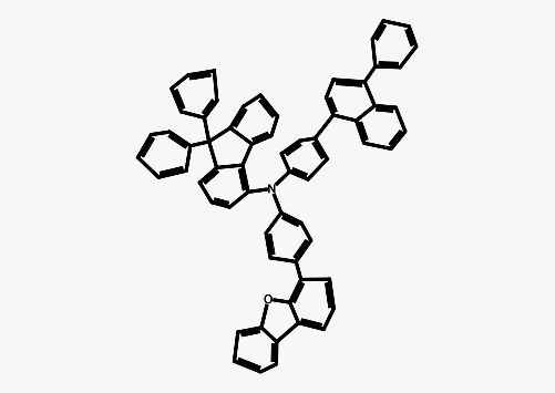 c1ccc(-c2ccc(-c3ccc(N(c4ccc(-c5cccc6c5oc5ccccc56)cc4)c4cccc5c4-c4ccccc4C5(c4ccccc4)c4ccccc4)cc3)c3ccccc23)cc1